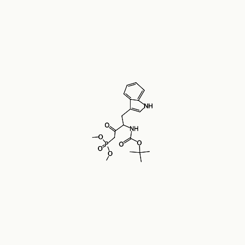 COP(=O)(CC(=O)C(Cc1c[nH]c2ccccc12)NC(=O)OC(C)(C)C)OC